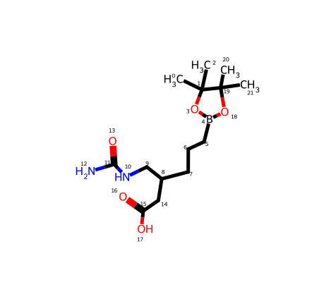 CC1(C)OB(CCCC(CNC(N)=O)CC(=O)O)OC1(C)C